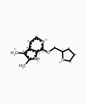 Cc1[nH]c2c(OCC3CCCO3)nccc2c1C